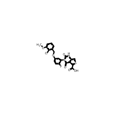 COc1cccc(COc2ccc(F)c(-n3c(=O)[nH]c4csc(C(=O)O)c4c3=O)c2)c1Cl